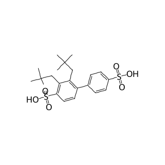 CC(C)(C)Cc1c(-c2ccc(S(=O)(=O)O)cc2)ccc(S(=O)(=O)O)c1CC(C)(C)C